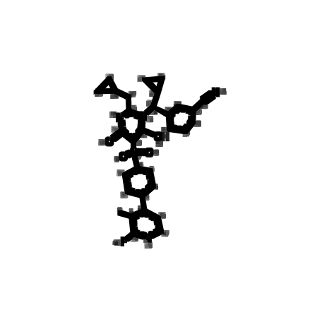 Cc1c(-c2ccc(S(=O)(=O)c3c(O)n([C@H](c4cccc(C#N)c4)C4CC4)c(CC4CC4)nc3=O)cc2)ccnc1F